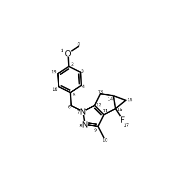 COc1ccc(Cn2nc(C)c3c2CC2CC32F)cc1